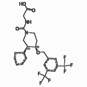 O=C(O)CNC(=O)N1CC[C@@H](OCc2cc(C(F)(F)F)cc(C(F)(F)F)c2)[C@@H](c2ccccc2)C1